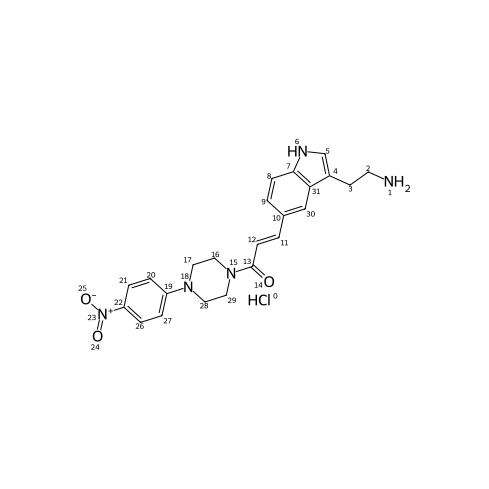 Cl.NCCc1c[nH]c2ccc(C=CC(=O)N3CCN(c4ccc([N+](=O)[O-])cc4)CC3)cc12